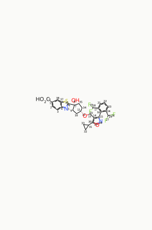 O=C(O)c1ccc2nc([C@]3(O)CC[C@@H](OCc4c(-c5c(C(F)F)cccc5C(F)F)noc4C4CC4)CC3)sc2c1